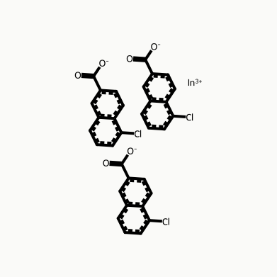 O=C([O-])c1ccc2c(Cl)cccc2c1.O=C([O-])c1ccc2c(Cl)cccc2c1.O=C([O-])c1ccc2c(Cl)cccc2c1.[In+3]